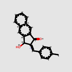 Cc1ccc(/C=C2\C(=O)c3cc4ccccc4cc3C2O)cc1